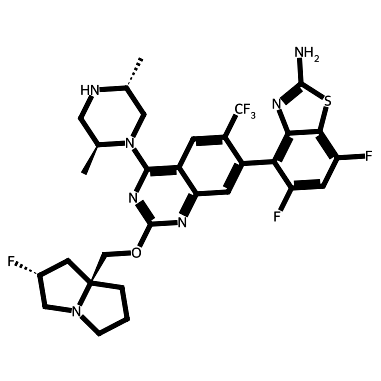 C[C@@H]1CN(c2nc(OC[C@@]34CCCN3C[C@H](F)C4)nc3cc(-c4c(F)cc(F)c5sc(N)nc45)c(C(F)(F)F)cc23)[C@@H](C)CN1